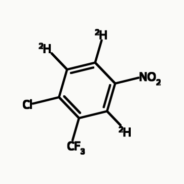 [2H]c1c([2H])c([N+](=O)[O-])c([2H])c(C(F)(F)F)c1Cl